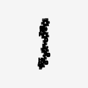 O=C(NCCC(=O)N1CCN(CCCOc2ccc(-c3noc(-c4ccccc4)n3)c(F)c2)CC1)[C@H]1CCCO1